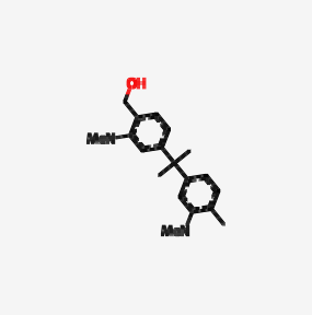 CNc1cc(C(C)(C)c2ccc(CO)c(NC)c2)ccc1C